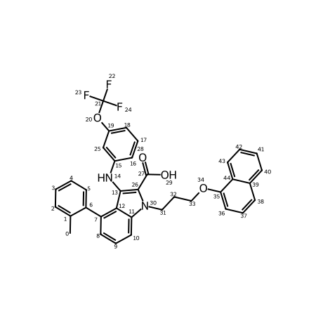 Cc1ccccc1-c1cccc2c1c(Nc1cccc(OC(F)(F)F)c1)c(C(=O)O)n2CCCOc1cccc2ccccc12